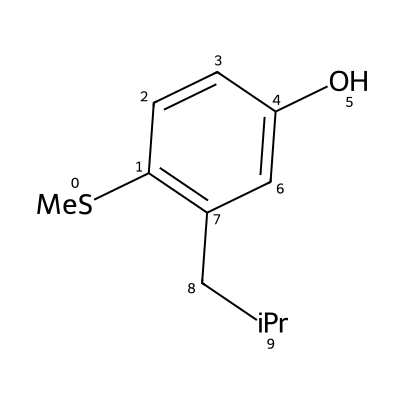 [CH2]Sc1ccc(O)cc1CC(C)C